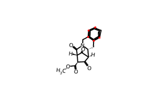 COC(=O)[C@@H]1C(=O)[C@H]2C(=O)[C@H]1C(=O)N(Cc1ccccc1)[C@@H]2Cc1ccccc1